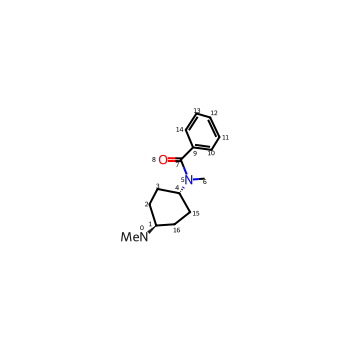 CN[C@H]1CC[C@H](N(C)C(=O)c2ccccc2)CC1